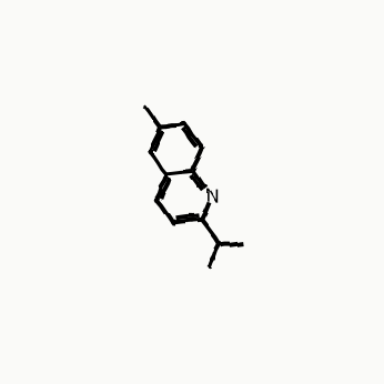 Cc1ccc2nc(C(C)C)ccc2c1